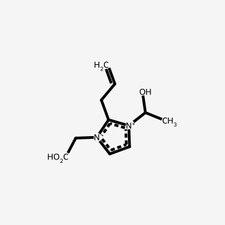 C=CCc1n(CC(=O)O)cc[n+]1C(C)O